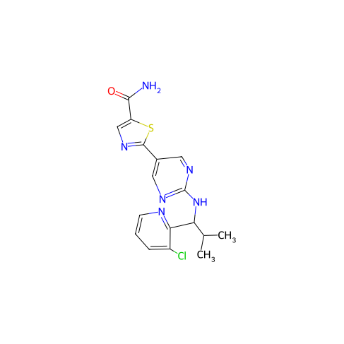 CC(C)C(Nc1ncc(-c2ncc(C(N)=O)s2)cn1)c1ncccc1Cl